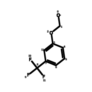 [O]COc1cccc(C(F)(F)F)c1